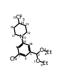 CCOC(OCC)c1cc(Cl)cc(N2CCC(C(F)(F)F)CC2)c1